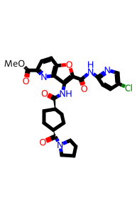 COC(=O)c1ccc2oc(C(=O)Nc3ccc(Cl)cn3)c(NC(=O)[C@H]3CC[C@H](C(=O)N4CCCC4)CC3)c2n1